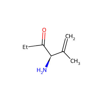 C=C(C)[C@@H](N)C(=O)CC